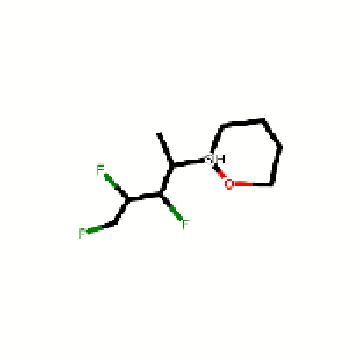 CC(C(F)C(F)CF)[SiH]1CCCCO1